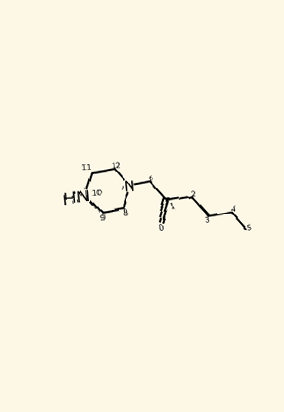 C=C(CCCC)CN1CCNCC1